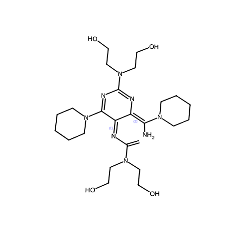 C=C(/N=C1/C(N2CCCCC2)=NC(N(CCO)CCO)=N/C1=C(/N)N1CCCCC1)N(CCO)CCO